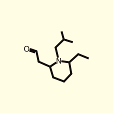 CCC1CCCC(CC=O)N1C[C](C)C